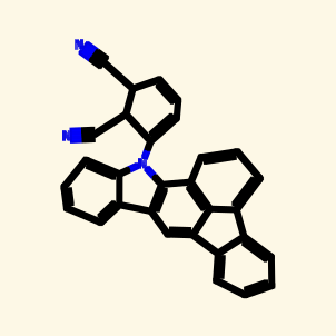 N#CC1C=CC=C(n2c3ccccc3c3cc4c5c(cccc5c32)-c2ccccc2-4)C1C#N